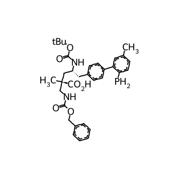 Cc1ccc(P)c(-c2ccc(C[C@H](C[C@@](C)(CNC(=O)OCc3ccccc3)C(=O)O)NC(=O)OC(C)(C)C)cc2)c1